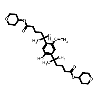 COc1cc(C(C)(C)CCCC(=O)OC2CCOCC2)c(O)cc1C(C)(C)CCCC(=O)OC1CCOCC1